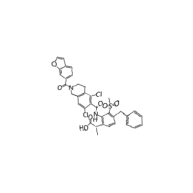 CC(C(=O)O)c1ccc(Cc2ccccc2)c(S(C)(=O)=O)c1NC(=O)c1c(Cl)cc2c(c1Cl)CCN(C(=O)c1ccc3ccoc3c1)C2